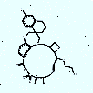 CC1C/C=C/C(OCCO)C2CCC2CN2CC3(CCCc4cc(Cl)ccc43)COc3ccc(cc32)C(=O)NS(=O)(=O)C1C